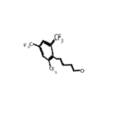 [O]CCCCc1c(C(F)(F)F)cc(C(F)(F)F)cc1C(F)(F)F